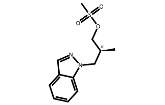 C[C@H](COS(C)(=O)=O)Cn1ncc2ccccc21